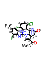 CNC(=O)c1cn(-c2nc3c(F)cc(C(F)(F)F)cc3[nH]2)c2c1CC(=O)NC2c1cc(F)ccc1Cl